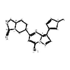 Cn1ccc(-c2cnn3c(N)cc(C4CCC5COC(=O)N5C4)nc23)c1